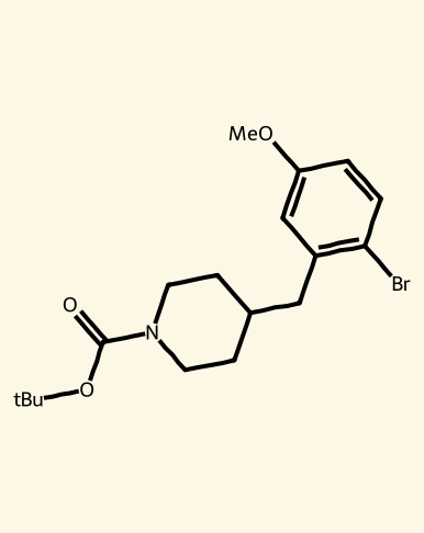 COc1ccc(Br)c(CC2CCN(C(=O)OC(C)(C)C)CC2)c1